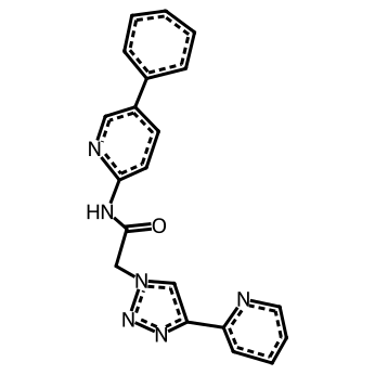 O=C(Cn1cc(-c2ccccn2)nn1)Nc1ccc(-c2ccccc2)cn1